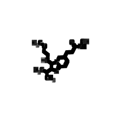 COCCNC1C(C(C)C)N=C2C=CC(/C=C/C(=O)NO)=CN21